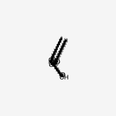 CCCCCCCCCCCCCCCCCC(=O)OC(C)OC(=O)C(CCCCCCCCCC(=O)O)C(C)OC(=O)CCCCCCCCCCCCCCCCC